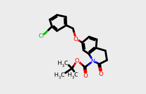 CC(C)(C)OC(=O)N1C(=O)CCc2ccc(OCc3cccc(Cl)c3)cc21